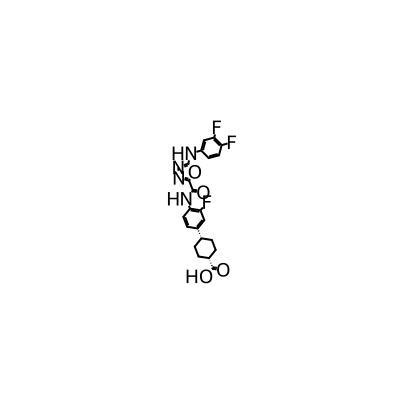 O=C(Nc1ccc([C@H]2CC[C@@H](C(=O)O)CC2)cc1F)c1nnc(Nc2ccc(F)c(F)c2)o1